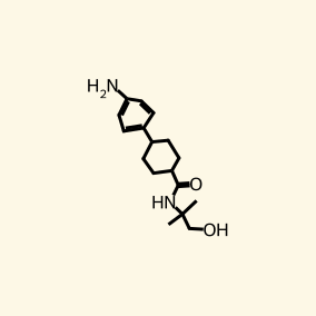 CC(C)(CO)NC(=O)C1CCC(c2ccc(N)cc2)CC1